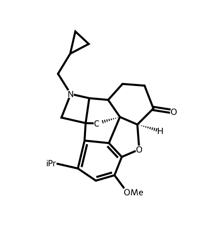 COc1cc(C(C)C)c2c3c1O[C@@H]1C(=O)CCC4C5N(CC6CC6)CC25C[C@]341